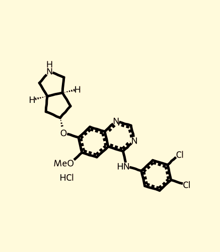 COc1cc2c(Nc3ccc(Cl)c(Cl)c3)ncnc2cc1O[C@@H]1C[C@H]2CNC[C@H]2C1.Cl